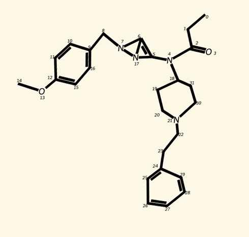 CCC(=O)N(c1c2n(Cc3ccc(OC)cc3)n1-2)C1CCN(CCc2ccccc2)CC1